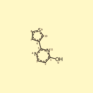 Oc1ccnc(-c2ccsc2)n1